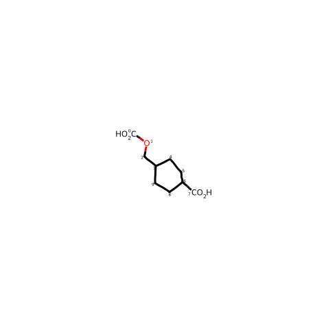 O=C(O)OCC1CCC(C(=O)O)CC1